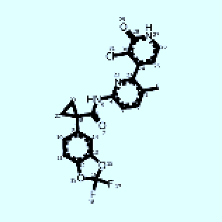 Cc1ccc(NC(=O)C2(c3ccc4c(c3)OC(F)(F)O4)CC2)nc1-c1cc[nH]c(=O)c1Cl